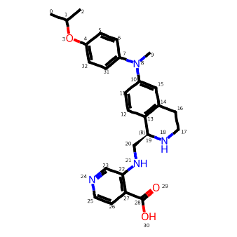 CC(C)Oc1ccc(N(C)c2ccc3c(c2)CCN[C@H]3CNc2cnccc2C(=O)O)cc1